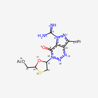 CCCc1nn(C(=N)N)c2c(=O)n(C3CSC(COC(C)=O)O3)nnc12